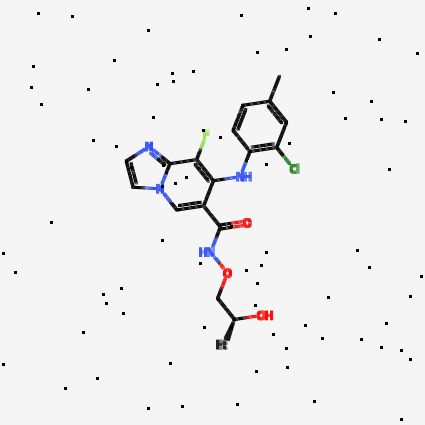 CC[C@H](O)CONC(=O)c1cn2ccnc2c(F)c1Nc1ccc(C)cc1Cl